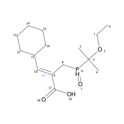 CCOC(C)(C)[PH](=O)C/C(=C\C1CCCCC1)C(=O)O